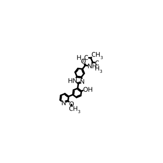 COc1ncccc1-c1ccc(O)c(-c2nc3cc(C(=O)NC(C)C(C)C)ccc3[nH]2)c1